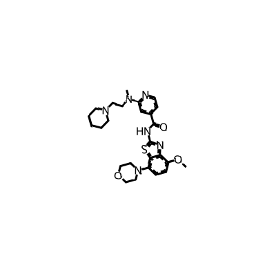 COc1ccc(N2CCOCC2)c2sc(NC(=O)c3ccnc(N(C)CCN4CCCCC4)c3)nc12